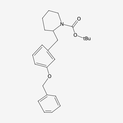 CC(C)(C)OC(=O)N1CCCCC1Cc1cccc(OCc2ccccc2)c1